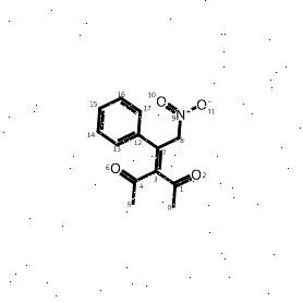 CC(=O)C(C(C)=O)=C(C[N+](=O)[O-])c1ccccc1